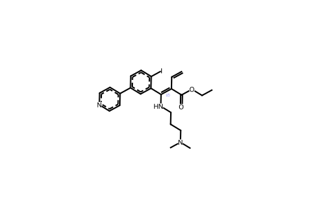 C=C/C(C(=O)OCC)=C(/NCCCN(C)C)c1cc(-c2ccncc2)ccc1I